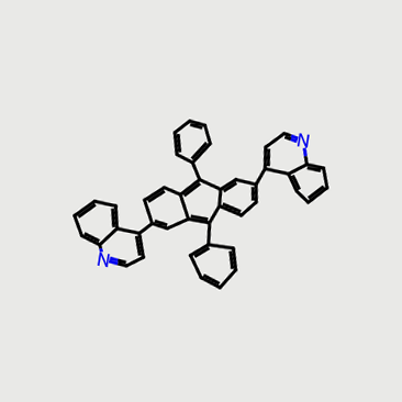 c1ccc(-c2c3ccc(-c4ccnc5ccccc45)cc3c(-c3ccccc3)c3ccc(-c4ccnc5ccccc45)cc23)cc1